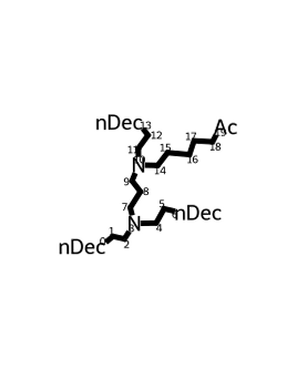 CCCCCCCCCCCCN(CCCCCCCCCCCC)CCCN(CCCCCCCCCCCC)CCCCCC(C)=O